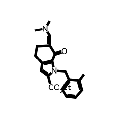 CCOC(=O)c1cc2c(n1Cc1ccccc1C)C(=O)C(=CN(C)C)CC2